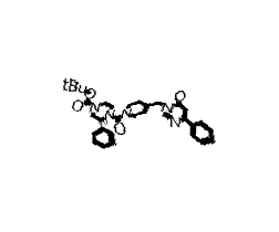 CC(C)(C)OC(=O)N1CCN(C(=O)N2CCC(Cn3cnc(-c4ccccc4)cc3=O)CC2)[C@H](c2ccccc2)C1